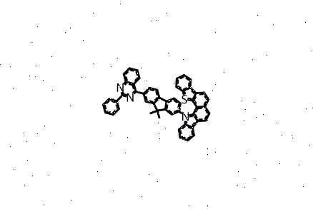 CC1(C)c2cc(-c3nc(-c4ccccc4)nc4ccccc34)ccc2-c2ccc(-n3c4ccccc4c4ccc5ccc6c7ccccc7sc6c5c43)cc21